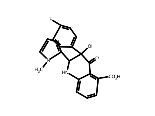 Cn1ccnc1C1Nc2cccc(C(=O)O)c2C(=O)C1(O)c1ccc(F)cc1